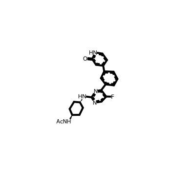 CC(=O)N[C@H]1CC[C@H](Nc2ncc(F)c(-c3cccc(-c4cc[nH]c(=O)c4)c3)n2)CC1